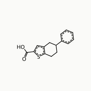 O=C(O)c1cc2c(s1)CCC(c1ccccc1)C2